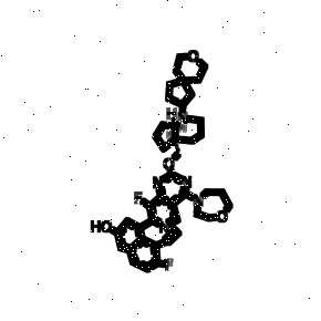 C#Cc1c(F)ccc2cc(O)cc(-c3ncc4c(N5CCCOCC5)nc(OC[C@]56CCC[C@H]5N(C5CCC7(CCOCC7)C5)CCC6)nc4c3F)c12